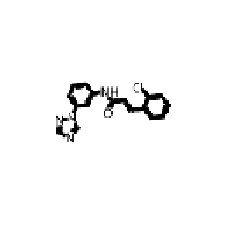 O=C(C=Cc1ccccc1Cl)Nc1cccc(-n2cncn2)c1